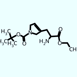 CCOC(=O)C(N)CC1=CCN(C(=O)OC(C)(C)C)C1